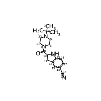 CC(C)(C)N1CCN(C(=O)C2Cc3cc(C#N)ccc3N2)CC1